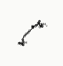 Cc1cc(-c2nn(-c3ccccc3)cc2C=CC(=O)N2CCCCC2C(N)=O)ccc1OCc1cn(CCCCCOCCOCCOCCOCC#Cc2ccc3c(c2)CC(Nc2nc(-c4cccnc4)nc4ccccc24)C3)nn1